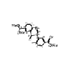 COC(=O)c1ccc(C)c(-n2cnc3ccc(C(OC)OC)cc3c2=O)c1